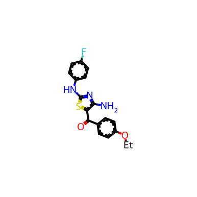 [CH2]COc1ccc(C(=O)c2sc(Nc3ccc(F)cc3)nc2N)cc1